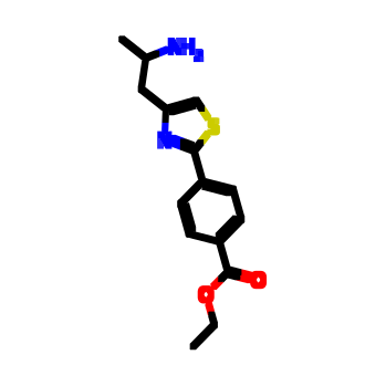 CCOC(=O)c1ccc(-c2nc(CC(C)N)cs2)cc1